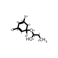 CCC(O)OC1(I)C=C(I)C=C(I)C1